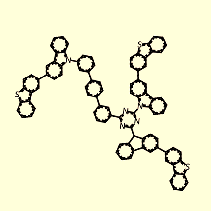 c1cc(-c2ccc(-c3cccc(-n4c5ccccc5c5cc(-c6ccc7sc8ccccc8c7c6)ccc54)c3)cc2)cc(-c2nc(C3c4ccccc4-c4cc(-c5ccc6sc7ccccc7c6c5)ccc43)nc(-n3c4ccccc4c4cc(-c5ccc6sc7ccccc7c6c5)ccc43)n2)c1